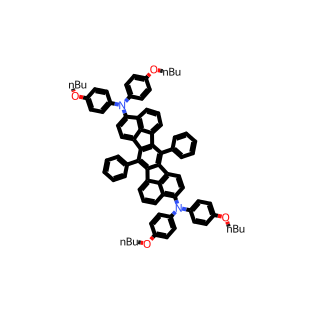 CCCCOc1ccc(N(c2ccc(OCCCC)cc2)c2ccc3c4c(-c5ccccc5)c5c6cccc7c(N(c8ccc(OCCCC)cc8)c8ccc(OCCCC)cc8)ccc(c5c(-c5ccccc5)c4c4cccc2c43)c76)cc1